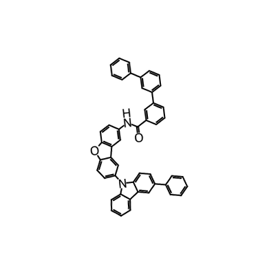 O=C(Nc1ccc2oc3ccc(-n4c5ccccc5c5cc(-c6ccccc6)ccc54)cc3c2c1)c1cccc(-c2cccc(-c3ccccc3)c2)c1